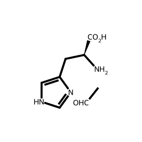 CC=O.N[C@@H](Cc1c[nH]cn1)C(=O)O